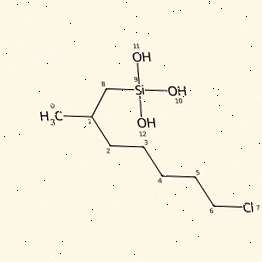 CC(CCCCCCl)C[Si](O)(O)O